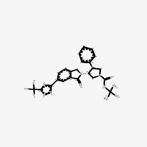 CC(C)(C)OC(=O)N1C[C@H](c2ccccc2)[C@@H](N2Cc3ccc(-c4noc(C(F)(F)F)n4)cc3C2=O)C1